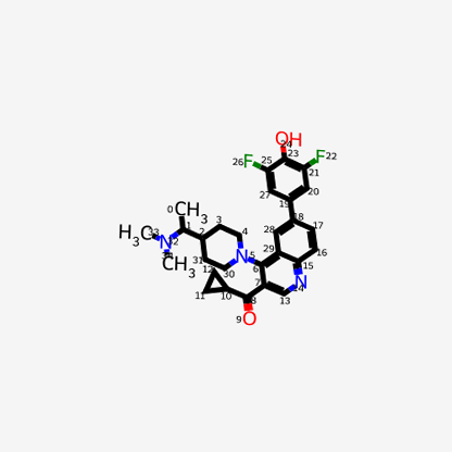 CC(C1CCN(c2c(C(=O)C3CC3)cnc3ccc(-c4cc(F)c(O)c(F)c4)cc23)CC1)N(C)C